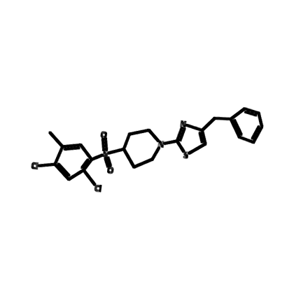 Cc1cc(S(=O)(=O)C2CCN(c3nc(Cc4ccccc4)cs3)CC2)c(Cl)cc1Cl